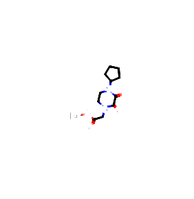 CC(C)(C)OC(=O)CN1CCN(C2CCCC2)C(=O)C1=O